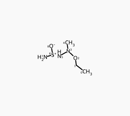 CCON(C)N[S+](N)[O-]